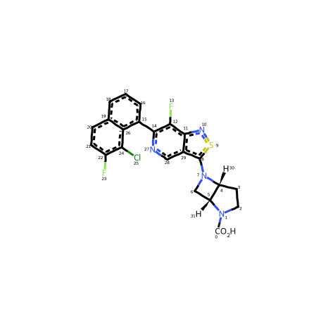 O=C(O)N1CC[C@@H]2[C@H]1CN2c1snc2c(F)c(-c3cccc4ccc(F)c(Cl)c34)ncc12